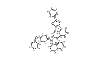 c1ccc(-c2nc3c(o2)-c2cc(N(c4ccc5oc6ccccc6c5c4)c4cccc5ccccc45)cc4cccc-3c24)cc1